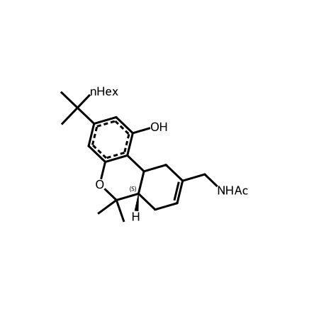 CCCCCCC(C)(C)c1cc(O)c2c(c1)OC(C)(C)[C@H]1CC=C(CNC(C)=O)CC21